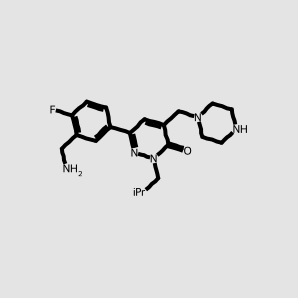 CC(C)Cn1nc(-c2ccc(F)c(CN)c2)cc(CN2CCNCC2)c1=O